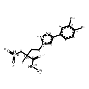 C[C@](CCn1cc(-c2ccc(F)c(F)c2)nn1)(C[SH](=O)=O)C(=O)NO